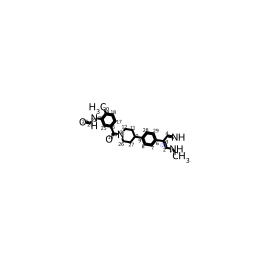 CN/C=C(\C=N)c1ccc(C2CCN(C(=O)c3ccc(C)c(NC=O)c3)CC2)cc1